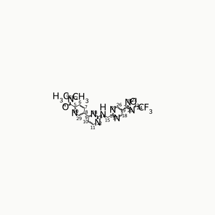 CN(C)C(=O)c1ccc(-c2ccnc(NCc3ncc(-c4noc(C(F)(F)F)n4)cn3)n2)cn1